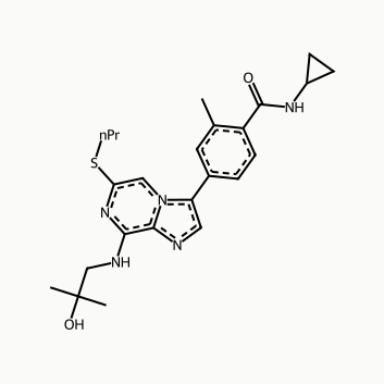 CCCSc1cn2c(-c3ccc(C(=O)NC4CC4)c(C)c3)cnc2c(NCC(C)(C)O)n1